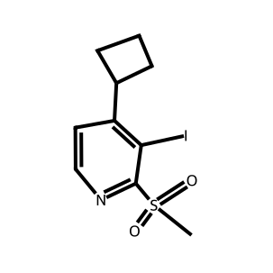 CS(=O)(=O)c1nccc(C2CCC2)c1I